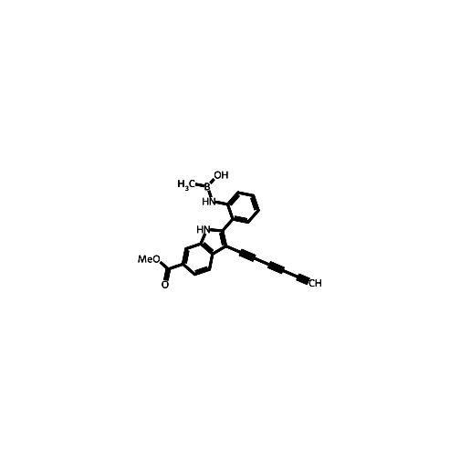 C#CC#CC#Cc1c(-c2ccccc2NB(C)O)[nH]c2cc(C(=O)OC)ccc12